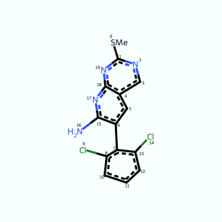 CSc1ncc2cc(-c3c(Cl)cccc3Cl)c(N)nc2n1